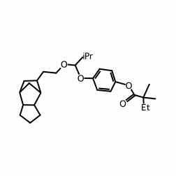 CCC(C)(C)C(=O)Oc1ccc(OC(OCCC2CC3CC2C2CCCC32)C(C)C)cc1